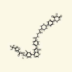 Cc1cc(-c2ncnc3[nH]c(-c4ccc(NCCNCC5CCN(c6ccc(N7CCC(=O)NC7=O)cc6)CC5)nc4)cc23)ccc1[C@H](C)NC(=O)c1nc(C(C)(C)C)no1